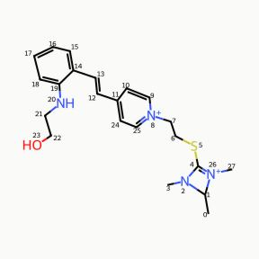 CC1N(C)C(SCC[n+]2ccc(/C=C/c3ccccc3NCCO)cc2)=[N+]1C